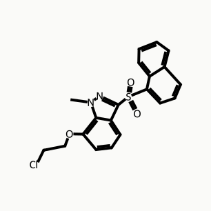 Cn1nc(S(=O)(=O)c2cccc3ccccc23)c2cccc(OCCCl)c21